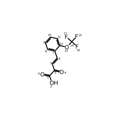 O=C(O)C(=O)/C=C/c1ccccc1OC(F)(F)F